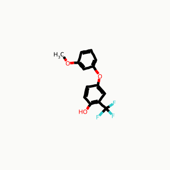 COc1cccc(Oc2ccc(O)c(C(F)(F)F)c2)c1